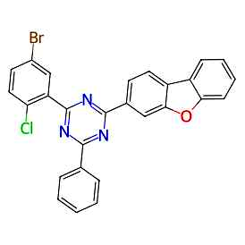 Clc1ccc(Br)cc1-c1nc(-c2ccccc2)nc(-c2ccc3c(c2)oc2ccccc23)n1